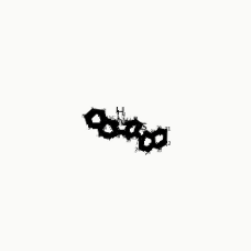 c1ccc2c(c1)ccc1c3cc4c(cc3[nH]c21)sc1c2ccccc2ccc41